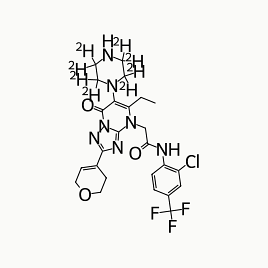 [2H]C1([2H])NC([2H])([2H])C([2H])([2H])N(c2c(CC)n(CC(=O)Nc3ccc(C(F)(F)F)cc3Cl)c3nc(C4=CCOCC4)nn3c2=O)C1([2H])[2H]